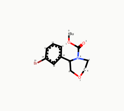 CC(C)(C)OC(=O)N1CCOCC1c1cccc(Br)c1